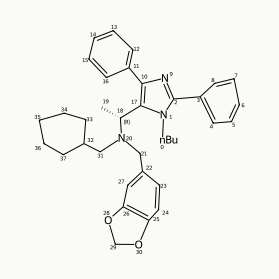 CCCCn1c(-c2ccccc2)nc(-c2ccccc2)c1[C@@H](C)N(Cc1ccc2c(c1)OCO2)CC1CCCCC1